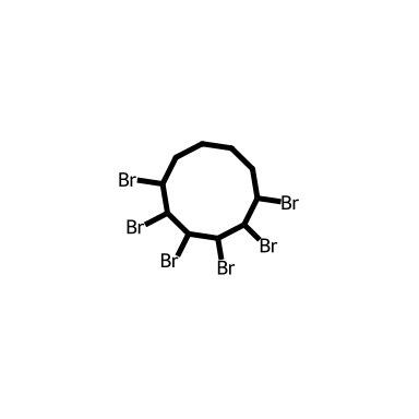 BrC1CCCCC(Br)C(Br)C(Br)C(Br)C1Br